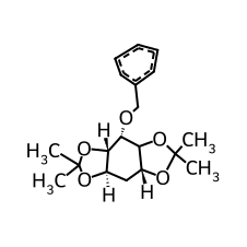 CC1(C)OC2[C@@H](OCc3ccccc3)[C@H]3OC(C)(C)O[C@@H]3C[C@H]2O1